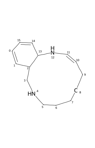 C1=CC2CNCCCCC/C=C\NC2C=C1